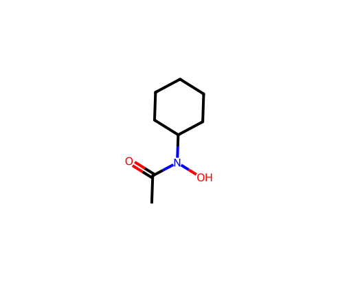 CC(=O)N(O)C1CCCCC1